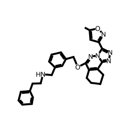 Cc1cc(-c2nnc3c4c(c(OCc5cccc(CNCCc6ccccc6)c5)nn23)CCCC4)no1